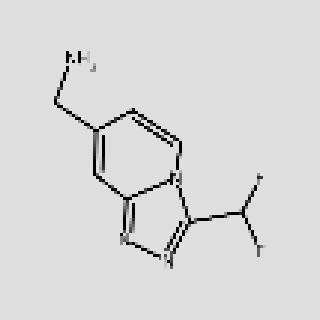 NCc1ccn2c(C(F)F)nnc2c1